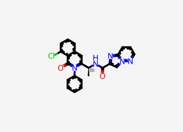 C[C@H](NC(=O)c1cn2ncccc2n1)c1cc2cccc(Cl)c2c(=O)n1-c1ccccc1